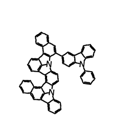 c1ccc(-n2c3ccccc3c3cc(-c4cc5ccccc5c5c6cccc7c8c9c%10c%11ccccc%11cc%11c%12ccccc%12n(c9ccc8n(c45)c76)c%11%10)ccc32)cc1